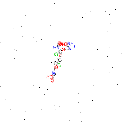 Cc1c(COc2cc(OCc3cncc(C(N)=O)c3)c(CN[C@](C)(C=O)CO)cc2Cl)cccc1-c1cccc(OCCCN2CCC(O)(CC=O)C2)c1Cl